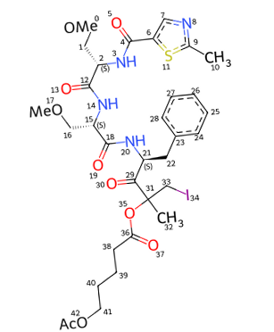 COC[C@H](NC(=O)c1cnc(C)s1)C(=O)N[C@@H](COC)C(=O)N[C@@H](Cc1ccccc1)C(=O)C(C)(CI)OC(=O)CCCCOC(C)=O